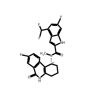 CN(C(=O)c1cc2c(C(F)F)cc(F)cc2[nH]1)[C@@H]1CCCc2[nH]c(=O)c3cc(F)ccc3c21